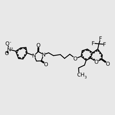 CCCc1c(OCCCCCN2C(=O)CN(c3ccc([N+](=O)[O-])cc3)C2=O)ccc2c(C(F)(F)F)cc(=O)oc12